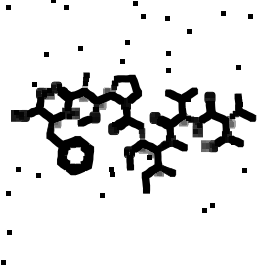 CC[C@H](C)[C@@H]([C@@H](CC(=O)N1CCC[C@H]1[C@H](OC)[C@@H](C)C(=O)N[C@@H](Cc1ccccc1)C(O)O)OC)N(C)C(=O)[C@@H](NC(=O)[C@H](C(C)C)N(C)S)C(C)C